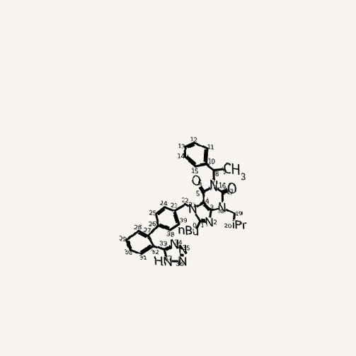 CCCCc1nc2c(c(=O)n(C(C)c3ccccc3)c(=O)n2CC(C)C)n1Cc1ccc(-c2ccccc2-c2nnn[nH]2)cc1